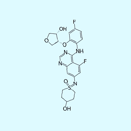 O=S1(=Nc2cc(F)c3c(Nc4ccc(F)cc4O[C@@H]4COC[C@@H]4O)ncnc3c2)CCC(O)CC1